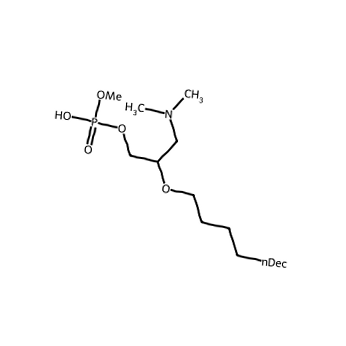 CCCCCCCCCCCCCCOC(COP(=O)(O)OC)CN(C)C